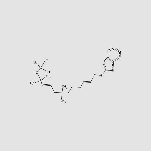 CC[Si](CC)(CC)OC(C=CCC(C)(C)CCCC=CCSc1nc2ccccc2s1)(C(F)(F)F)C(F)(F)F